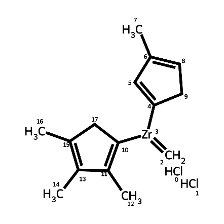 Cl.Cl.[CH2]=[Zr]([C]1=CC(C)=CC1)[C]1=C(C)C(C)=C(C)C1